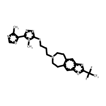 Cc1ncoc1-c1nnc(SCCCN2CCc3cc4nc(C(F)(F)C(F)(F)F)oc4cc3CC2)n1C